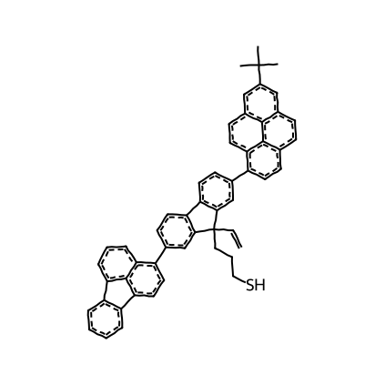 C=CC1(CCCS)c2cc(-c3ccc4c5c(cccc35)-c3ccccc3-4)ccc2-c2ccc(-c3ccc4ccc5cc(C(C)(C)C)cc6ccc3c4c56)cc21